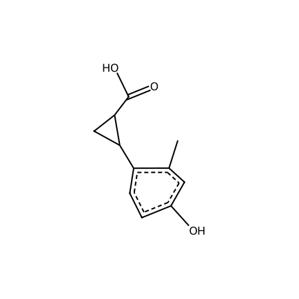 Cc1cc(O)ccc1C1CC1C(=O)O